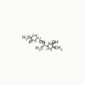 C/C(=N\OCc1ccc(C)c(F)c1)c1ccc(C)c(O)c1